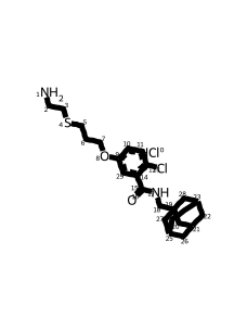 Cl.NCCSCCCOc1ccc(Cl)c(C(=O)NCC23CC4CC(CC(C4)C2)C3)c1